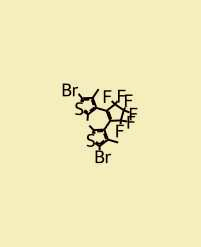 Cc1sc(Br)c(C)c1C1=C(c2c(C)sc(Br)c2C)C(F)(F)C(F)(F)C1(F)F